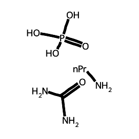 CCCN.NC(N)=O.O=P(O)(O)O